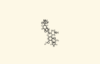 CCOc1cc(CN(c2nc3cc(S(N)(=O)=O)ccc3o2)C2CCNCC2)cc(OCC)c1-n1cccc1